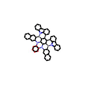 c1ccc(N2c3cc4ccccc4cc3B3c4c(c5c6c(c42)N(c2ccccc2)c2cc4ccccc4cc2B6n2c4ccccc4c4cccc-5c42)-c2cccc4c5ccccc5n3c24)cc1